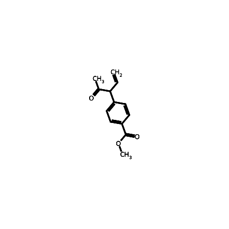 C=CC(C(C)=O)c1ccc(C(=O)OC)cc1